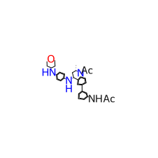 CC(=O)Nc1cccc(-c2ccc3c(c2)[C@H](Nc2ccc(NC4CCOCC4)cc2)C[C@H](C)N3C(C)=O)c1